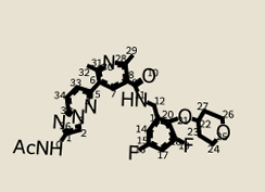 CC(=O)Nc1cn2nc(-c3cc(C(=O)NCc4cc(F)cc(F)c4OC4CCOCC4)c(C)nc3C)ccc2n1